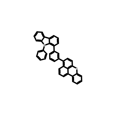 c1ccc(-n2c3ccccc3c3cccc(-c4cccc(-c5ccc6c7c(cccc57)-c5ccccc5S6)c4)c32)cc1